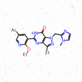 CCOc1ncc(C(C)=O)cc1-c1nc2c(CC)nn(Cc3nccn3C)c2c(=O)[nH]1